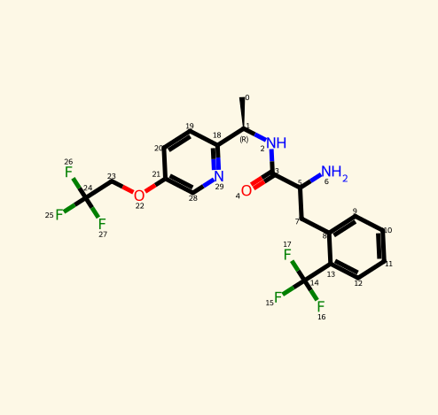 C[C@@H](NC(=O)C(N)Cc1ccccc1C(F)(F)F)c1ccc(OCC(F)(F)F)cn1